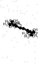 Cc1cc(C)cc(N(c2cc(C)cc(C)c2)c2ccc3c(c2)C(C)(C)c2cc(/C=C/c4ccc(-c5ccc(/C=C/c6ccc7c(c6)C(C)(C)c6cc(N(c8cc(C)cc(C)c8)c8cc(C)cc(C)c8)ccc6-7)cc5)cc4)ccc2-3)c1